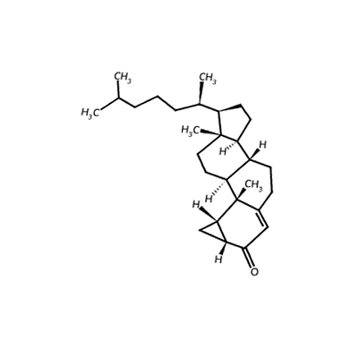 CC(C)CCC[C@@H](C)[C@H]1CC[C@H]2[C@@H]3CCC4=CC(=O)[C@@H]5C[C@@H]5[C@]4(C)[C@H]3CC[C@]12C